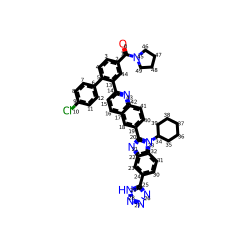 O=C(c1ccc(-c2ccc(Cl)cc2)c(-c2ccc3cc(-c4nc5cc(-c6nnn[nH]6)ccc5n4C4CCCCC4)ccc3n2)c1)N1CCCC1